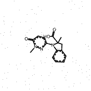 Cn1nc(N2c3ccccc3CC2(C)C(=O)O)ccc1=O